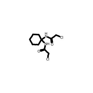 O=C(CCl)NC1(NC(=O)CCl)CCCCC1